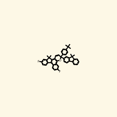 CC(C)(C)c1ccc(C2(c3ccc4c(c3)C(C)(C)c3ccccc3-4)C=Cc3c4c(c5ccc(F)cc5c3O2)-c2ccc(F)cc2C4(C)C)cc1